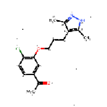 COC(=O)c1ccc(Cl)c(OCCCc2c(C)n[nH]c2C)c1